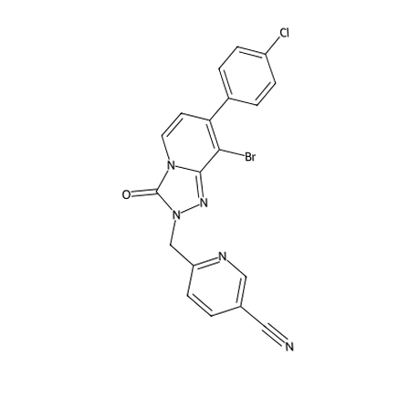 N#Cc1ccc(Cn2nc3c(Br)c(-c4ccc(Cl)cc4)ccn3c2=O)nc1